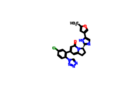 O=C(O)c1cc(-c2cnc([C@@H]3CCc4cc(-c5cc(Cl)ccc5-n5cnnn5)cc(=O)n43)[nH]2)co1